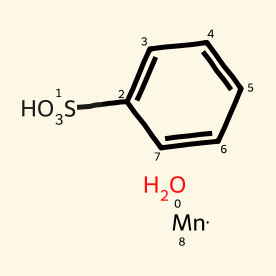 O.O=S(=O)(O)c1ccccc1.[Mn]